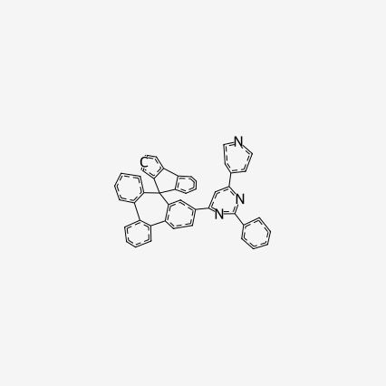 c1ccc(-c2nc(-c3ccncc3)cc(-c3ccc4c(c3)C3(c5ccccc5-c5ccccc5-4)c4ccccc4-c4ccccc43)n2)cc1